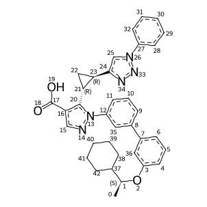 C[C@H](Oc1cccc(-c2cccc(-n3ncc(C(=O)O)c3[C@@H]3C[C@H]3c3cn(-c4ccccc4)nn3)c2)c1)C1CCCCC1